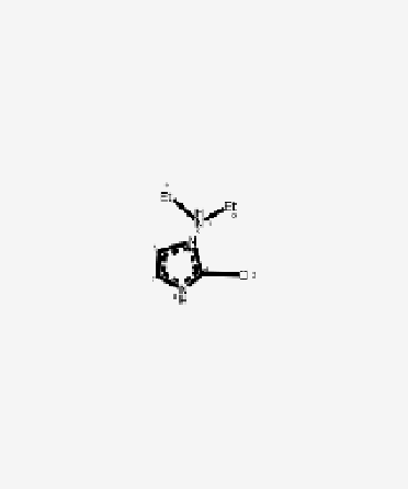 CCNCC.Clc1ncc[nH]1